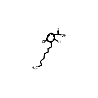 CCCCCCCCc1c(Cl)ccc(C(=O)O)c1Cl